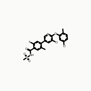 Cc1ccc(Cl)cc1Oc1ncc(-c2cc(F)c(C(=O)NS(C)(=O)=O)cc2C)cc1Cl